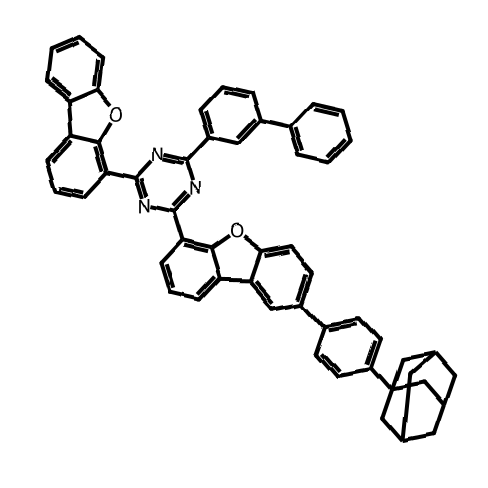 c1ccc(-c2cccc(-c3nc(-c4cccc5c4oc4ccccc45)nc(-c4cccc5c4oc4ccc(-c6ccc(C78CC9CC(CC(C9)C7)C8)cc6)cc45)n3)c2)cc1